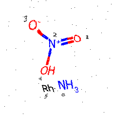 N.O=[N+]([O-])O.[Rh]